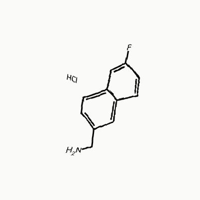 Cl.NCc1ccc2cc(F)ccc2c1